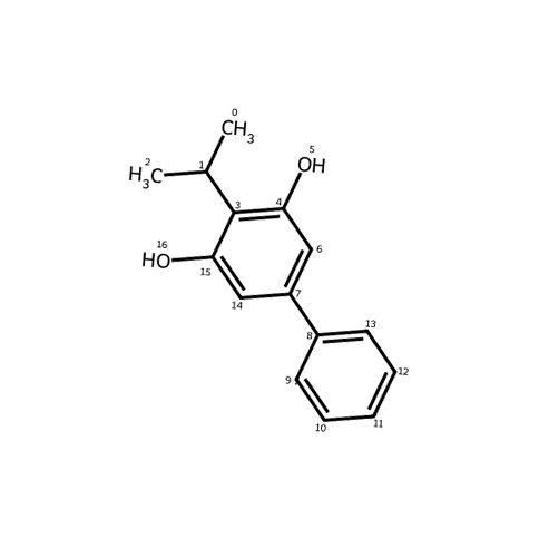 CC(C)c1c(O)cc(-c2[c]cccc2)cc1O